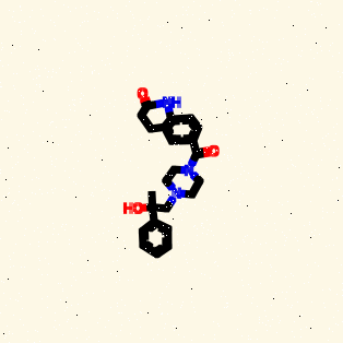 CC(O)(CN1CCN(C(=O)c2ccc3c(c2)CCC(=O)N3)CC1)c1ccccc1